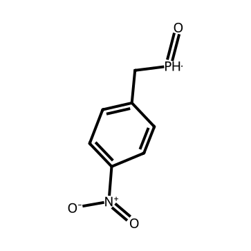 O=[PH]Cc1ccc([N+](=O)[O-])cc1